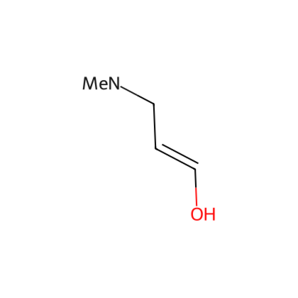 CNCC=CO